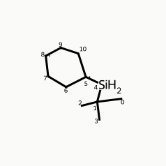 CC(C)(C)[SiH2][C]1CC[CH]CC1